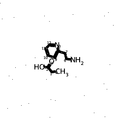 CCC(=O)O.NCCc1ccccn1